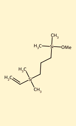 C=C[Si](C)(C)CCC[Si](C)(C)OC